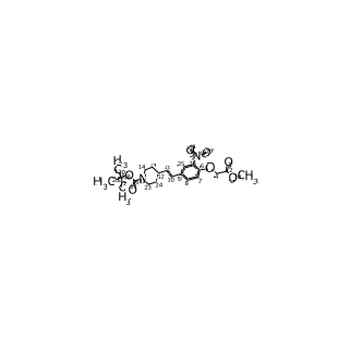 COC(=O)COc1ccc(C=CC2CCN(C(=O)OC(C)(C)C)CC2)cc1[N+](=O)[O-]